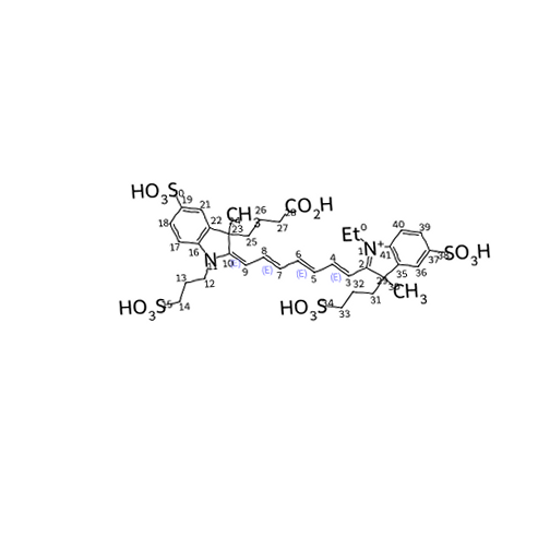 CC[N+]1=C(/C=C/C=C/C=C/C=C2/N(CCCS(=O)(=O)O)c3ccc(S(=O)(=O)O)cc3C2(C)CCCC(=O)O)C(C)(CCCS(=O)(=O)O)c2cc(S(=O)(=O)O)ccc21